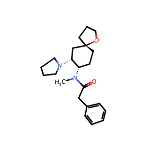 CN(C(=O)Cc1ccccc1)[C@H]1CC[C@]2(CCCO2)C[C@H]1N1CCCC1